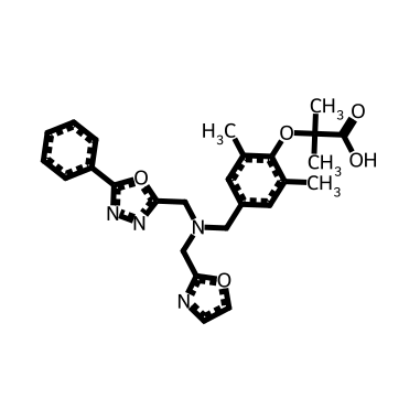 Cc1cc(CN(Cc2ncco2)Cc2nnc(-c3ccccc3)o2)cc(C)c1OC(C)(C)C(=O)O